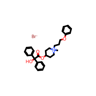 C[N+]1(CCCOc2ccccc2)CCC(OC(=O)C(O)(c2ccccc2)c2ccccc2)CC1.[Br-]